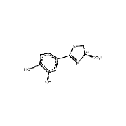 O=C(O)[C@@H]1CSC(c2ccc(O)c(O)c2)=N1